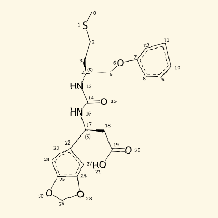 CSCC[C@@H](COc1ccccc1)NC(=O)N[C@@H](CC(=O)O)c1ccc2c(c1)OCO2